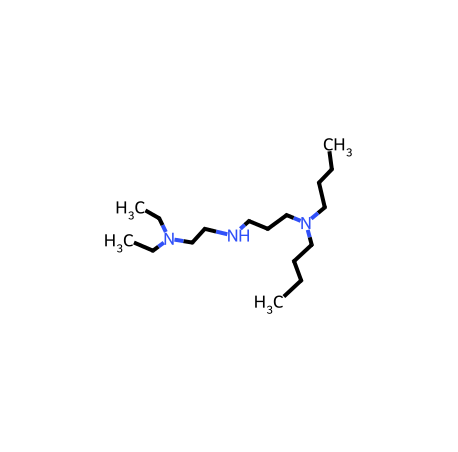 CCCCN(CCCC)CCCNCCN(CC)CC